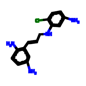 Nc1ccc(N)c(C=CCNc2cc(N)ccc2Cl)c1